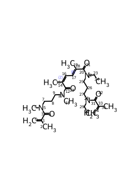 C=C(C)C(=O)N(C)CCCN(C)C(=O)/C(C)=C\C=C(/C)C(=O)N(CC)CCCN(CC)C(=O)C(=C)C